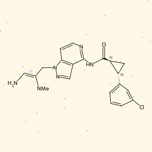 CN/C(=C\N)Cn1ncc2c(NC(=O)[C@H]3C[C@@H]3c3cccc(Cl)c3)nccc21